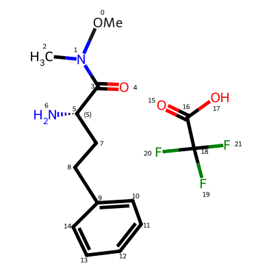 CON(C)C(=O)[C@@H](N)CCc1ccccc1.O=C(O)C(F)(F)F